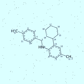 Cc1ccc(CNc2ccc(C)cc2C2CCCCC2)cc1